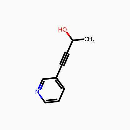 CC(O)C#Cc1cccnc1